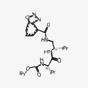 CC(C)OC(=O)N[C@H](C(=O)N[C@H](CNC(=O)c1cccc2onnc12)C(C)C)C(C)C